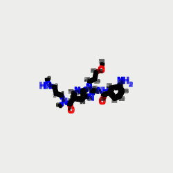 CNCCCN(C)C(=O)c1cnc2c(c1)nc(NC(=O)c1cccc(N)c1)n2CCCOC